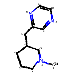 CC(C)(C)N1CCCC(Cc2cnccn2)C1